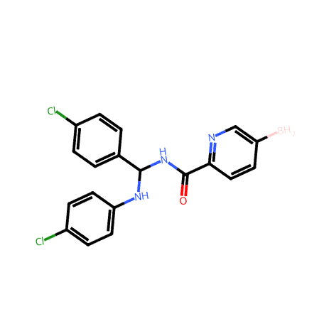 Bc1ccc(C(=O)NC(Nc2ccc(Cl)cc2)c2ccc(Cl)cc2)nc1